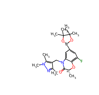 Cc1nn(C)c(C)c1CN1C(=O)[C@@H](C)Oc2c(F)cc(B3OC(C)(C)C(C)(C)O3)cc21